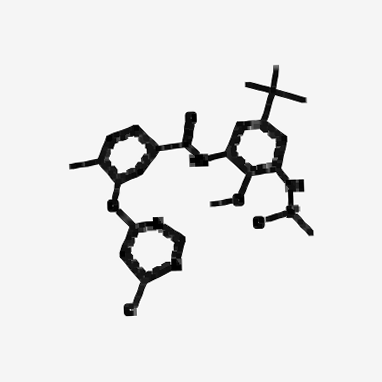 COc1c(NC(=O)c2ccc(C)c(Oc3cc(Cl)ncn3)c2)cc(C(C)(C)C)cc1N[S+](C)[O-]